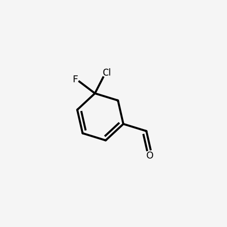 O=CC1=CC=CC(F)(Cl)C1